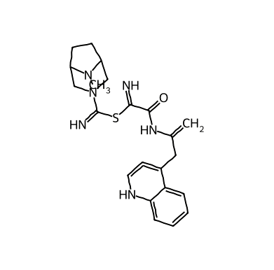 C=C(CC1=C=CNc2ccccc21)NC(=O)C(=N)SC(=N)N1CC2CCC(C1)N2C